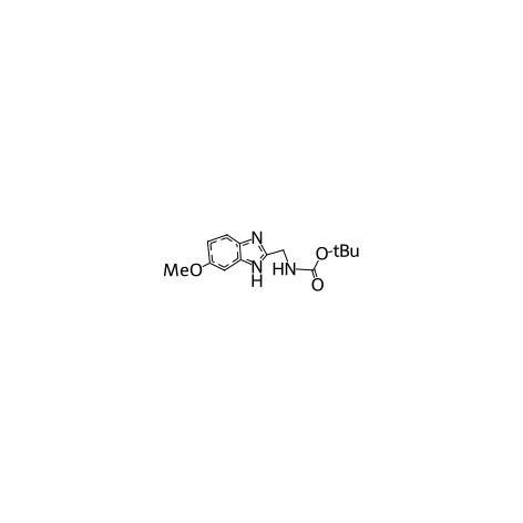 COc1ccc2nc(CNC(=O)OC(C)(C)C)[nH]c2c1